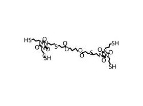 O=C(CCSCCCn1c(=O)n(CCCS)c(=O)n(CCCS)c1=O)OCCCCOC(=O)CCSCCCn1c(=O)n(CCCS)c(=O)n(CCCS)c1=O